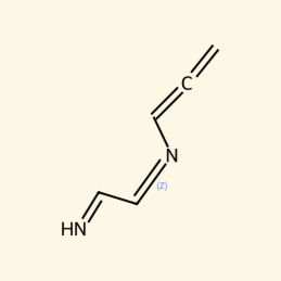 C=C=C/N=C\C=N